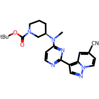 CN(c1ccnc(-c2cnn3ccc(C#N)cc23)n1)[C@@H]1CCCN(C(=O)OC(C)(C)C)C1